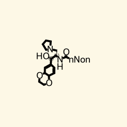 CCCCCCCCCC(=O)N[C@@H](CN1CCCC1)[C@@H](O)C1=CC2OCCOC2C=C1